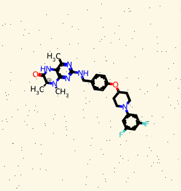 Cc1nc(NCc2ccc(OC3CCN(c4cc(F)cc(F)c4)CC3)cc2)nc2c1NC(=O)[C@H](C)N2C